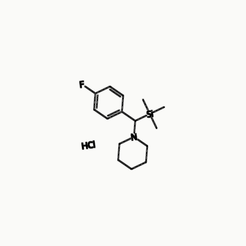 C[Si](C)(C)C(c1ccc(F)cc1)N1CCCCC1.Cl